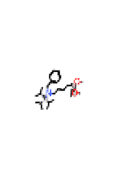 CO[SiH](CCCCN(Cc1ccccc1)[Si](C(C)C)(C(C)C)C(C)C)OC